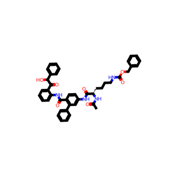 CC(=O)N[C@@H](CCCCNC(=O)OCc1ccccc1)C(=O)Nc1ccc(C(=O)Nc2ccccc2C(=O)C(O)c2ccccc2)c(-c2ccccc2)c1